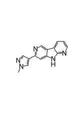 Cn1cc(-c2cc3[nH]c4ncccc4c3cn2)cn1